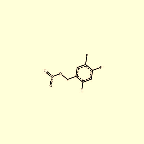 O=[SH](=O)O[CH]c1cc(F)c(F)cc1F